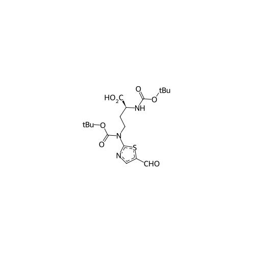 CC(C)(C)OC(=O)N[C@@H](CCN(C(=O)OC(C)(C)C)c1ncc(C=O)s1)C(=O)O